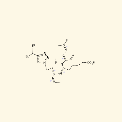 C=C/C(=C\C=C(/C)F)N(C=C)\C(CCCCC(=O)O)=N/C(=C/Cn1cc(C(CC)CC)nn1)C(/C)=C\C